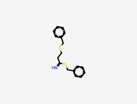 N=C(CCSCc1ccccc1)SCc1ccccc1